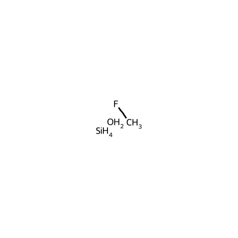 CF.O.[SiH4]